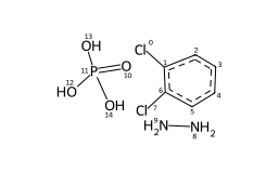 Clc1ccccc1Cl.NN.O=P(O)(O)O